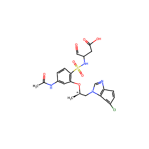 CC(=O)Nc1ccc(S(=O)(=O)NC(C=O)CC(=O)O)c(O[C@H](C)Cn2cnc3ccc(Cl)cc32)c1